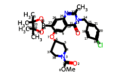 COC(=O)N1CCC(Oc2cc3c(=O)n(Cc4ccc(Cl)cc4)c(C)nc3cc2B2OC(C)(C)C(C)(C)O2)CC1